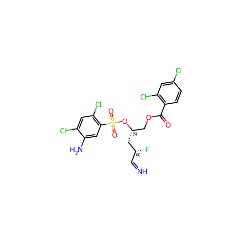 N=C[C@@H](F)C[C@@H](COC(=O)c1ccc(Cl)cc1Cl)OS(=O)(=O)c1cc(N)c(Cl)cc1Cl